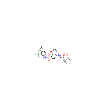 COc1cc(NC(=O)[C@@H](O)C(C)C)ccc1S(=O)(=O)Nc1ccc(C)c(C(F)(F)F)c1